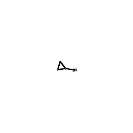 SI1C[I]1